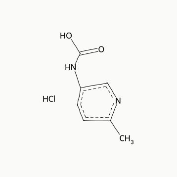 Cc1ccc(NC(=O)O)cn1.Cl